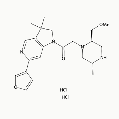 COC[C@H]1CN[C@H](C)CN1CC(=O)N1CC(C)(C)c2cnc(-c3ccoc3)cc21.Cl.Cl